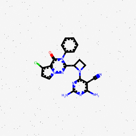 N#Cc1c(N)nc(N)nc1N1CCC1c1nn2ccc(Cl)c2c(=O)n1-c1ccccc1